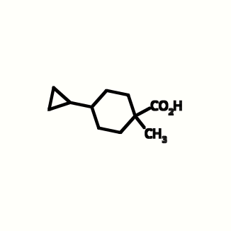 CC1(C(=O)O)CCC(C2CC2)CC1